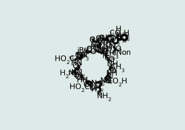 CCCCCCCCCC(=O)NC(Cc1c[nH]c2ccccc12)C(=O)NC(CCC(=O)O)C(=O)NC(C(=O)NC1C(=O)N(C)CC(=O)NC(C)C(=O)NC(CC(=O)O)C(=O)NC(CCCCN)C(=O)NC(C(O)C(=O)O)C(=O)NCC(=O)NC(CC(N)=O)C(=O)NC(C(C)CC(=O)O)C(=O)NC(C(C)CC)C(=O)OC1C)C(O)C(N)=O